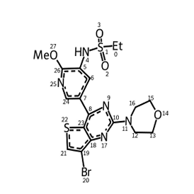 CCS(=O)(=O)Nc1cc(-c2nc(N3CCOCC3)nc3c(Br)csc23)cnc1OC